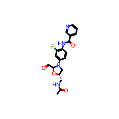 CC(=O)NC[C@H]1CN(c2ccc(NC(=O)c3cccnc3)c(F)c2)C(C=O)O1